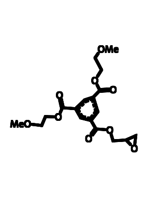 COCCOC(=O)c1cc(C(=O)OCCOC)cc(C(=O)OCC2CO2)c1